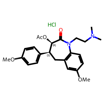 COc1ccc([C@@H]2Cc3cc(OC)ccc3N(CCN(C)C)C(=O)[C@@H]2OC(C)=O)cc1.Cl